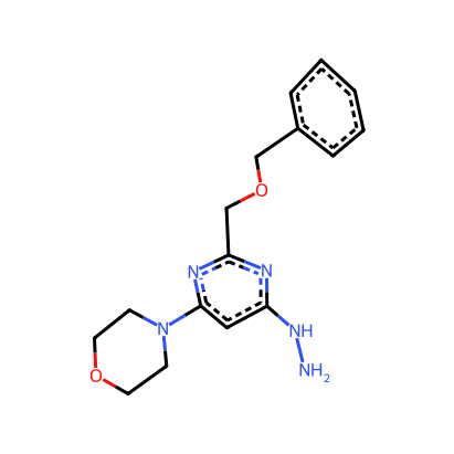 NNc1cc(N2CCOCC2)nc(COCc2ccccc2)n1